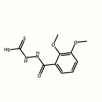 COc1cccc(C(=O)NNC(=S)S)c1OC